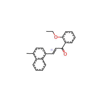 CCOc1ccccc1C(=O)/C=C/c1ccc(C)c2ccccc12